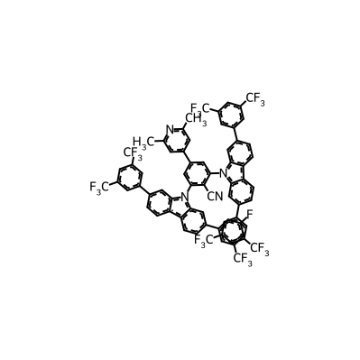 Cc1cc(-c2cc(-n3c4cc(-c5cc(F)cc(C(F)(F)F)c5)ccc4c4ccc(-c5cc(C(F)(F)F)cc(C(F)(F)F)c5)cc43)c(C#N)c(-n3c4cc(-c5cc(C(F)(F)F)cc(C(F)(F)F)c5)ccc4c4ccc(-c5cc(C(F)(F)F)cc(C(F)(F)F)c5)cc43)c2)cc(C)n1